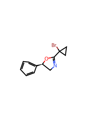 BrC1(C2=NC[C@@H](c3ccccc3)O2)CC1